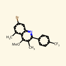 COc1c(C)c(-c2ccc(C(F)(F)F)cc2)nc2cc(Br)cc(C)c12